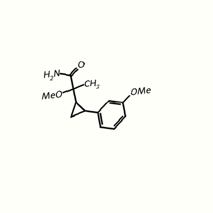 COc1cccc(C2CC2C(C)(OC)C(N)=O)c1